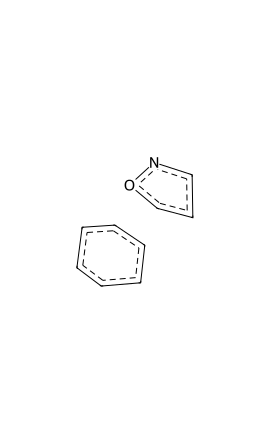 c1ccccc1.c1cnoc1